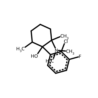 CC1CCCC(C)(N(C)C)C1(O)c1cccc(F)c1Cl